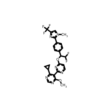 COc1ncnc(C2CC2)c1-c1nccc(OC(c2ccc(-c3nc(C(F)(F)F)cn3C)cc2)C(F)F)n1